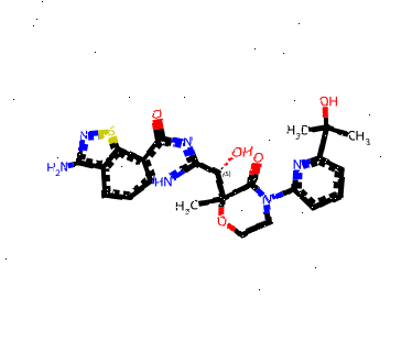 CC(C)(O)c1cccc(N2CCOC(C)([C@@H](O)c3nc(=O)c4c(ccc5c(N)nsc54)[nH]3)C2=O)n1